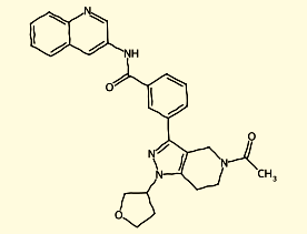 CC(=O)N1CCc2c(c(-c3cccc(C(=O)Nc4cnc5ccccc5c4)c3)nn2C2CCOC2)C1